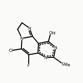 CSc1nc(O)c2c(n1)C(F)=C(Cl)N1CCN=C21